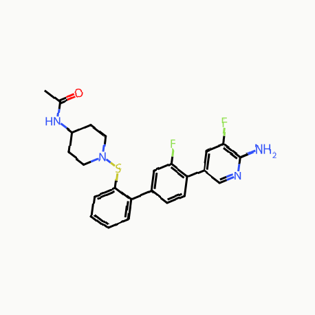 CC(=O)NC1CCN(Sc2ccccc2-c2ccc(-c3cnc(N)c(F)c3)c(F)c2)CC1